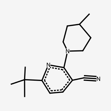 CC1CCN(c2nc(C(C)(C)C)ccc2C#N)CC1